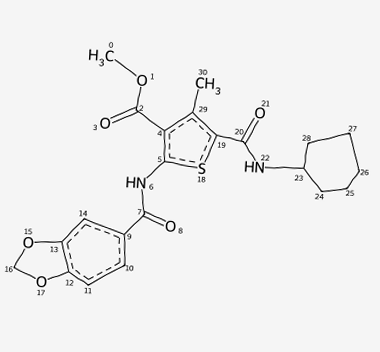 COC(=O)c1c(NC(=O)c2ccc3c(c2)OCO3)sc(C(=O)NC2CCCCC2)c1C